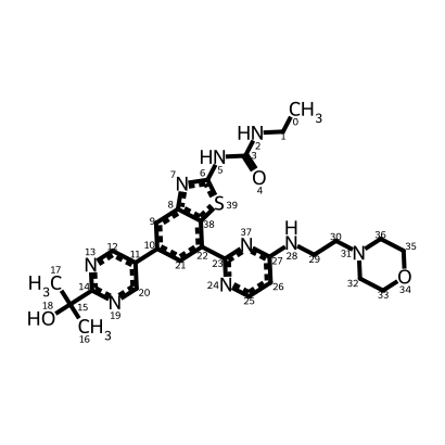 CCNC(=O)Nc1nc2cc(-c3cnc(C(C)(C)O)nc3)cc(-c3nccc(NCCN4CCOCC4)n3)c2s1